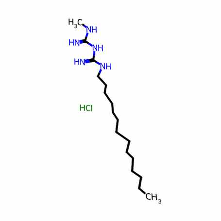 CCCCCCCCCCCCCCNC(=N)NC(=N)NC.Cl